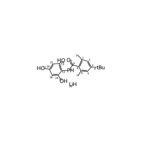 Cc1cc(C(C)(C)C)cc(C)c1C(=O)Pc1c(O)cc(O)cc1O.[LiH]